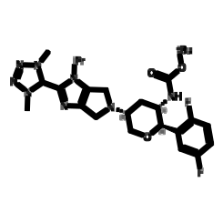 CC(C)n1c(C2N(C)N=NN2C)nc2c1CN([C@H]1CO[C@H](c3cc(F)ccc3F)[C@@H](NC(=O)OC(C)(C)C)C1)C2